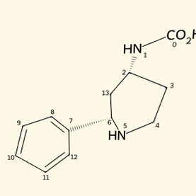 O=C(O)N[C@@H]1CCN[C@H](c2ccccc2)C1